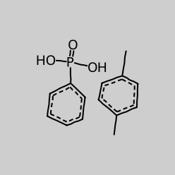 Cc1ccc(C)cc1.O=P(O)(O)c1ccccc1